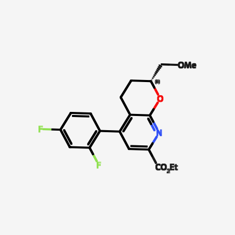 CCOC(=O)c1cc(-c2ccc(F)cc2F)c2c(n1)O[C@@H](COC)CC2